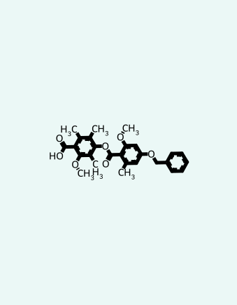 COc1cc(OCc2ccccc2)cc(C)c1C(=O)Oc1c(C)c(C)c(C(=O)O)c(OC)c1C